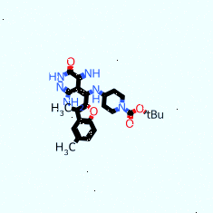 Cc1ccc2oc(/C(NC3CCN(C(=O)OC(C)(C)C)CC3)=C3/C(=N)C(=O)NN=C3N)c(C)c2c1